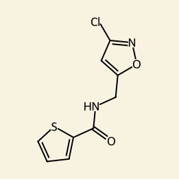 O=C(NCc1cc(Cl)no1)c1cccs1